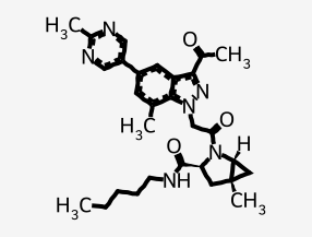 CCCCCNC(=O)[C@@H]1C[C@@]2(C)C[C@H]2N1C(=O)Cn1nc(C(C)=O)c2cc(-c3cnc(C)nc3)cc(C)c21